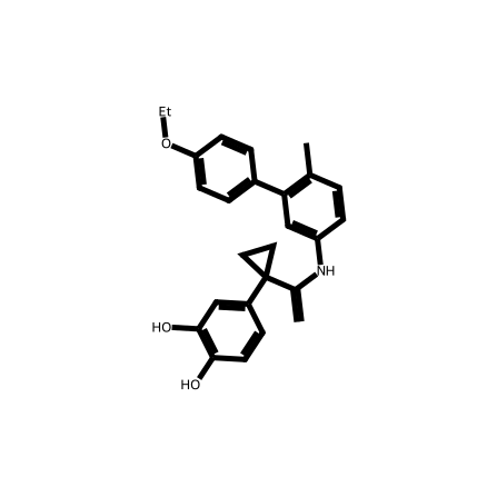 C=C(Nc1ccc(C)c(-c2ccc(OCC)cc2)c1)C1(c2ccc(O)c(O)c2)CC1